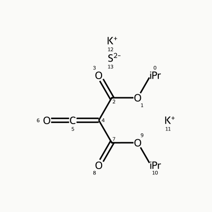 CC(C)OC(=O)C(=C=O)C(=O)OC(C)C.[K+].[K+].[S-2]